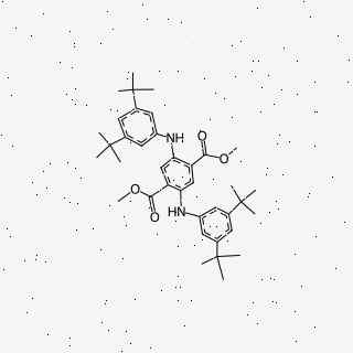 COC(=O)c1cc(Nc2cc(C(C)(C)C)cc(C(C)(C)C)c2)c(C(=O)OC)cc1Nc1cc(C(C)(C)C)cc(C(C)(C)C)c1